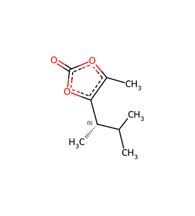 Cc1oc(=O)oc1[C@@H](C)C(C)C